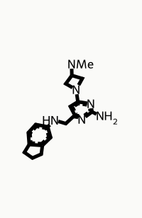 CNC1CN(c2cc(CNc3ccc4c(c3)CCC4)nc(N)n2)C1